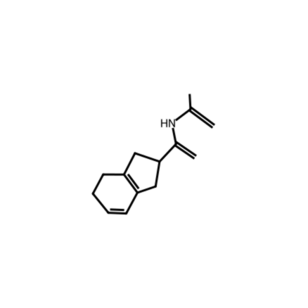 C=C(C)NC(=C)C1CC2=C(CCC=C2)C1